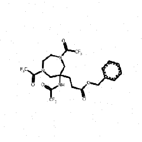 O=C(CCC1(NC(=O)C(F)(F)F)CN(C(=O)C(F)(F)F)CCN(C(=O)C(F)(F)F)C1)OCc1ccccc1